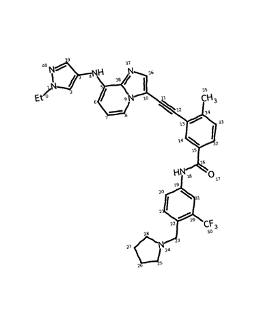 CCn1cc(Nc2cccn3c(C#Cc4cc(C(=O)Nc5ccc(CN6CCCC6)c(C(F)(F)F)c5)ccc4C)cnc23)cn1